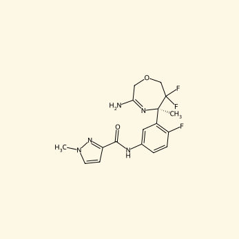 Cn1ccc(C(=O)Nc2ccc(F)c([C@@]3(C)N=C(N)COCC3(F)F)c2)n1